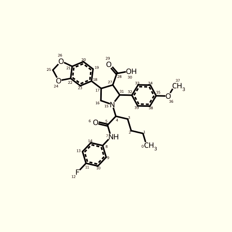 CCCCC(C(=O)Nc1ccc(F)cc1)N1CC(c2ccc3c(c2)OCO3)C(C(=O)O)C1c1ccc(OC)cc1